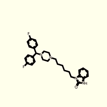 O=c1[nH]c2ccccc2n1CCCCCCN1CCN(C(c2ccc(F)cc2)c2ccc(F)cc2)CC1